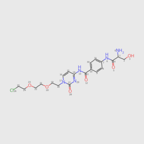 NC(CO)C(=O)Nc1ccc(C(=O)Nc2ccn(CCOCCOCCCl)c(=O)n2)cc1